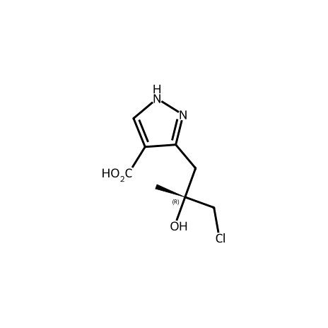 C[C@](O)(CCl)Cc1n[nH]cc1C(=O)O